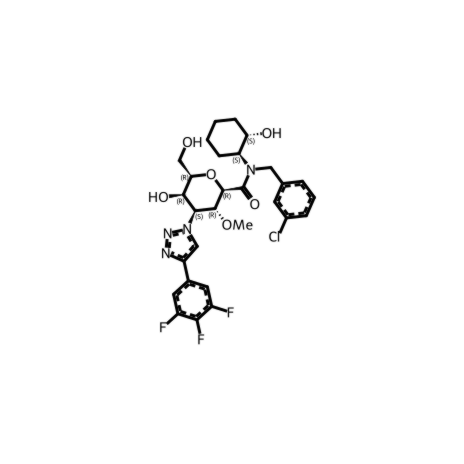 CO[C@@H]1[C@@H](n2cc(-c3cc(F)c(F)c(F)c3)nn2)[C@@H](O)[C@@H](CO)O[C@H]1C(=O)N(Cc1cccc(Cl)c1)[C@H]1CCCC[C@@H]1O